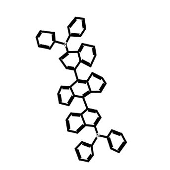 c1ccc(N(c2ccccc2)c2ccc(-c3c4ccccc4c(-c4ccc(N(c5ccccc5)c5ccccc5)c5ccccc45)c4ccccc34)c3ccccc23)cc1